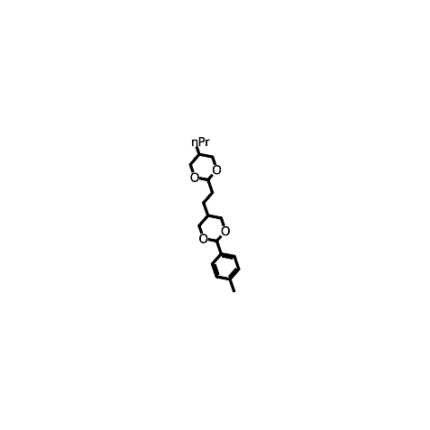 CCCC1COC(CCC2COC(c3ccc(C)cc3)OC2)OC1